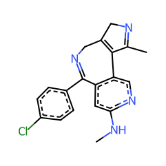 CNc1cc2c(cn1)C1=C(CN=C1C)CN=C2c1ccc(Cl)cc1